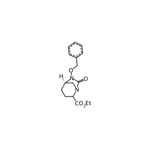 CCOC(=O)C1CC[C@@H]2CN1C(=O)N2OCc1ccccc1